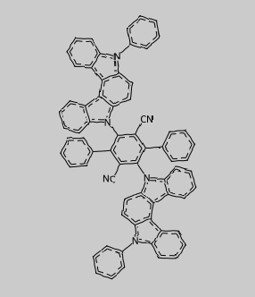 N#Cc1c(-c2ccccc2)c(-n2c3ccccc3c3c4c5ccccc5n(-c5ccccc5)c4ccc32)c(C#N)c(-c2ccccc2)c1-n1c2ccccc2c2c3c4ccccc4n(-c4ccccc4)c3ccc21